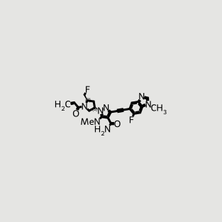 C=CC(=O)N1C[C@@H](n2nc(C#Cc3cc4ncn(C)c4cc3F)c(C(N)=O)c2NC)C[C@@H]1CF